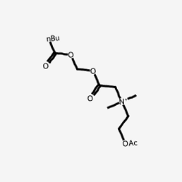 CCCCC(=O)OCOC(=O)C[N+](C)(C)CCOC(C)=O